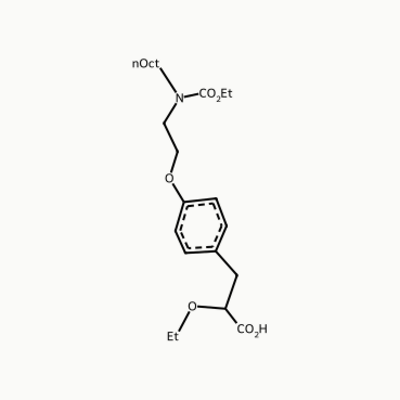 CCCCCCCCN(CCOc1ccc(CC(OCC)C(=O)O)cc1)C(=O)OCC